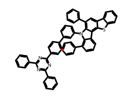 c1ccc(-c2nc(-c3ccccc3)nc(-c3ccc(-c4cccc(-n5c6c(-c7ccccc7)cccc6c6c7sc8ccccc8c7cc(-c7ccccc7)c65)c4)cc3)n2)cc1